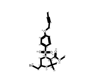 CC#CCOc1ccc(S(=O)(=O)N2CC(CBr)SC(C)(C)[C@@H]2C(=O)OC)cc1